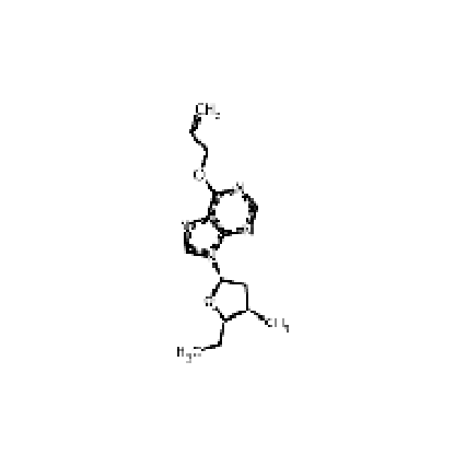 C=CCOc1ncnc2c1ncn2[C@H]1C[C@@H](C)[C@@H](CC)O1